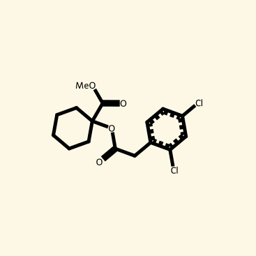 COC(=O)C1(OC(=O)Cc2ccc(Cl)cc2Cl)CCCCC1